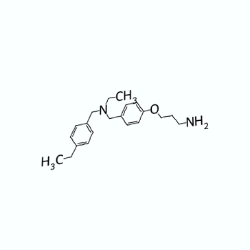 CCc1ccc(CN(CC)Cc2ccc(OCCCN)cc2)cc1